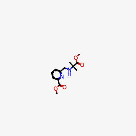 COC(=O)c1cccc(CNC(C)(C)C(=O)OC)n1